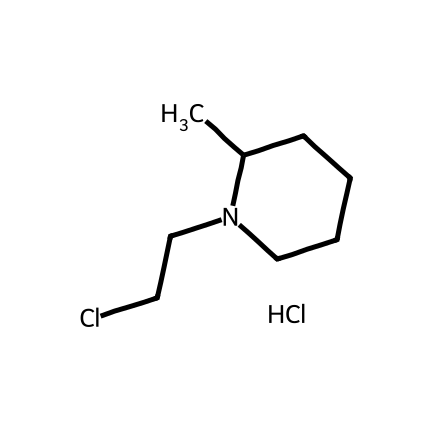 CC1CCCCN1CCCl.Cl